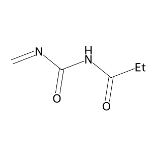 C=NC(=O)NC(=O)CC